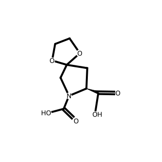 O=C(O)[C@@H]1CC2(CN1C(=O)O)OCCO2